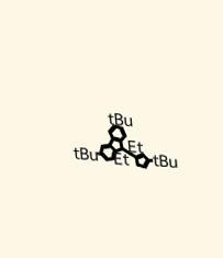 CCC(CC)(C1=CC(C(C)(C)C)=CC1)C1c2ccc(C(C)(C)C)cc2-c2cc(C(C)(C)C)ccc21